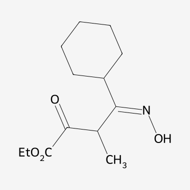 CCOC(=O)C(=O)C(C)C(=NO)C1CCCCC1